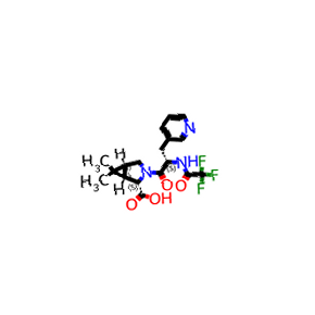 CC1(C)[C@@H]2[C@@H](C(=O)O)N(C(=O)[C@H](Cc3cccnc3)NC(=O)C(F)(F)F)C[C@@H]21